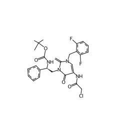 C=C1N(Cc2c(F)cccc2F)C=C(NC(=O)CCl)C(=O)N1C[C@H](NC(=O)OC(C)(C)C)c1ccccc1